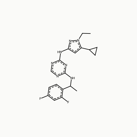 CCn1nc(Nc2ncnc(NC(C)c3ccc(F)cc3F)n2)cc1C1CC1